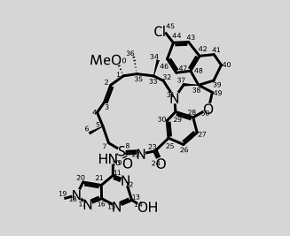 CO[C@H]1/C=C/C[C@H](C)CS(=O)(Nc2nc(O)nc3nn(C)cc23)=NC(=O)c2ccc3c(c2)N(C[C@H](C)[C@H]1C)C[C@@]1(CCCc2cc(Cl)ccc21)CO3